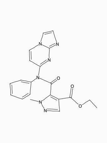 CCOC(=O)c1cnn(C)c1C(=O)N(c1ccccc1)c1ccn2ccnc2n1